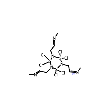 CN=CCN1S(Cl)(Cl)N(CC=NC)S(Cl)(Cl)N(C/C=N\C)S1(Cl)Cl